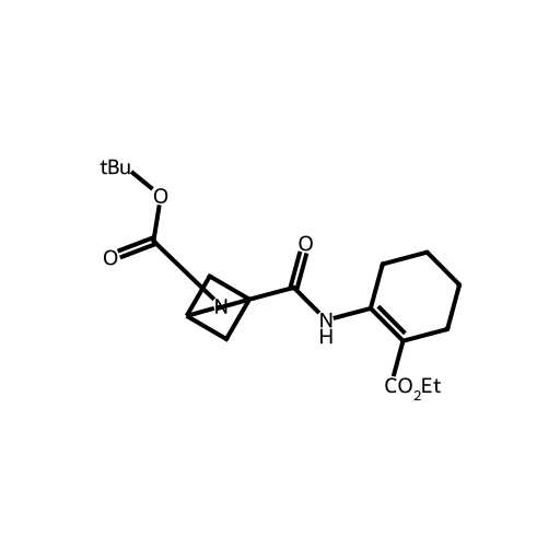 CCOC(=O)C1=C(NC(=O)C23CC(C2)N(C(=O)OC(C)(C)C)C3)CCCC1